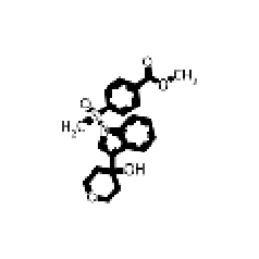 C=S(=O)(c1ccc(C(=O)OC)cc1)n1cc(C2(O)CCOCC2)c2ccccc21